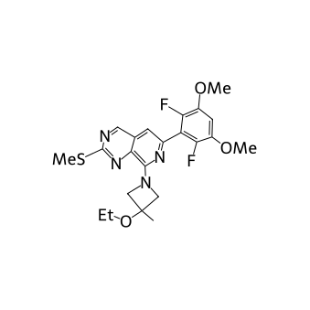 CCOC1(C)CN(c2nc(-c3c(F)c(OC)cc(OC)c3F)cc3cnc(SC)nc23)C1